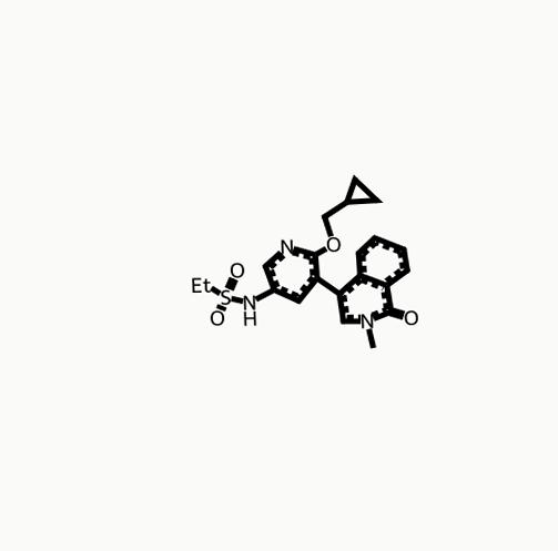 CCS(=O)(=O)Nc1cnc(OCC2CC2)c(-c2cn(C)c(=O)c3ccccc23)c1